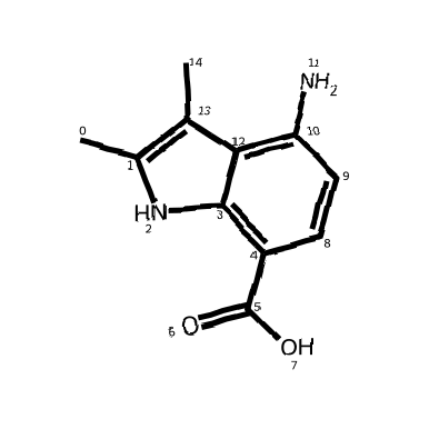 Cc1[nH]c2c(C(=O)O)ccc(N)c2c1C